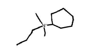 CCC[N+](C)(C)C1CCCCC1